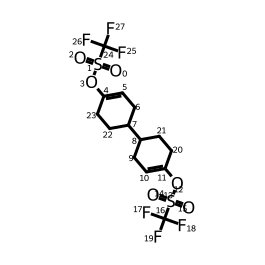 O=S(=O)(OC1=CCC(C2CC=C(OS(=O)(=O)C(F)(F)F)CC2)CC1)C(F)(F)F